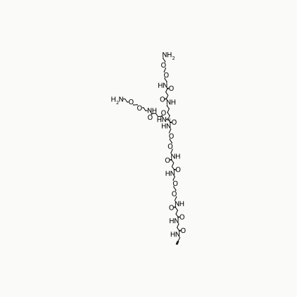 C#CCNC(=O)CCNC(=O)CCC(=O)NCCOCCOCCNC(=O)CCC(=O)NCCOCCOCCNC(=O)[C@H](CCCCNC(=O)CCC(=O)NCCOCCOCCN)NC(=O)CCC(=O)NCCOCCOCCN